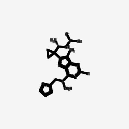 Cc1c(C2([C@H](C)N[S+]([O-])C(C)(C)C)CC2)sc2c(N(Cc3ccco3)C(=O)O)nc(Cl)nc12